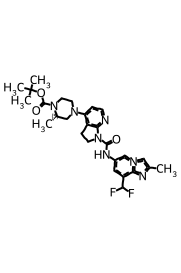 Cc1cn2cc(NC(=O)N3CCc4c(N5CCN(C(=O)OC(C)(C)C)[C@@H](C)C5)ccnc43)cc(C(F)F)c2n1